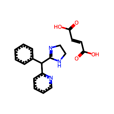 O=C(O)C=CC(=O)O.c1ccc(C(C2=NCCN2)c2ccccn2)cc1